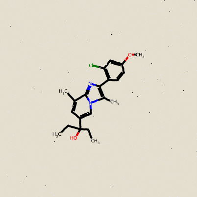 CCC(O)(CC)c1cc(C)c2nc(-c3ccc(OC)cc3Cl)c(C)n2c1